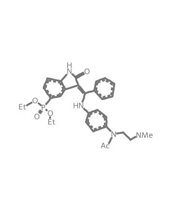 CCOP(=O)(OCC)c1ccc2c(c1)C(=C(Nc1ccc(N(CCNC)C(C)=O)cc1)c1ccccc1)C(=O)N2